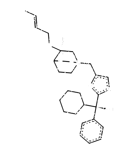 C/C=C/CO[C@H]1C[N+]2(Cc3cnc([C@](O)(c4ccccc4)C4CCCCC4)o3)CCC1CC2